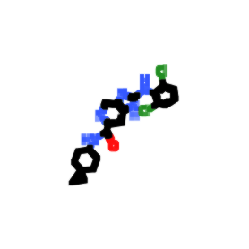 O=C(NC1CCC2(CC1)CC2)c1cc2[nH]c(Nc3c(Cl)cccc3Cl)nc2cn1